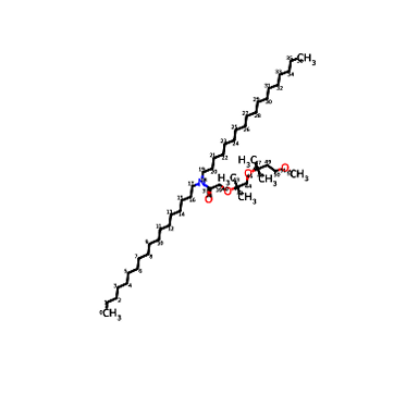 CCCCCCCCCCCCCCCCCCN(CCCCCCCCCCCCCCCCCC)C(=O)COC(C)(C)COC(C)(C)CCOC